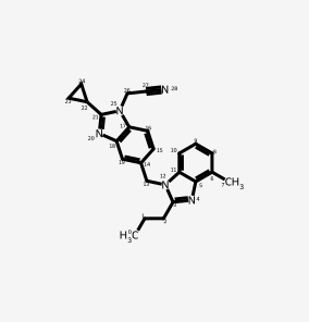 CCCc1nc2c(C)cccc2n1Cc1ccc2c(c1)nc(C1CC1)n2CC#N